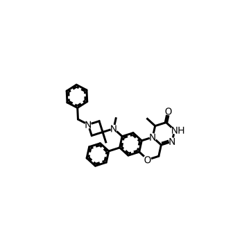 CC1C(=O)NN=C2COc3cc(-c4ccccc4)c(N(C)C4(C)CN(Cc5ccccc5)C4)cc3N21